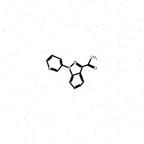 CC(=O)c1nn(-c2cccnc2)c2ccccc12